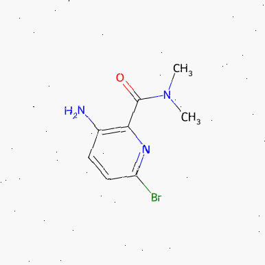 CN(C)C(=O)c1nc(Br)ccc1N